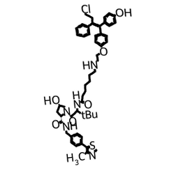 Cc1ncsc1-c1ccc(CNC(=O)[C@@H]2C[C@@H](O)CN2C(=O)C(NC(=O)CCCCCCNCCOc2ccc(C(=C(CCCl)c3ccccc3)c3ccc(O)cc3)cc2)C(C)(C)C)cc1